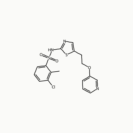 Cc1c(Cl)cccc1S(=O)(=O)Nc1ncc(CCOc2cccnc2)s1